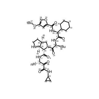 CCC[C@H](NC(=O)[C@@H]1[C@H]2NCC[C@H]2CN1C(=O)[C@@H](NC(=O)[C@@H](NC(=O)c1cc(OC(C)(C)C)no1)C1CCCCC1)C(C)(C)C)C(=O)C(=O)NC1CC1